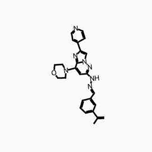 C=C(C)c1cccc(C=NNc2cc(N3CCOCC3)c3nc(-c4ccncc4)cn3n2)c1